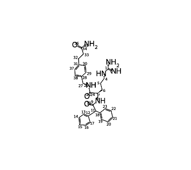 N=C(N)NCCC[C@@H](NC(=O)C(c1ccccc1)c1ccccc1)C(=O)NCc1ccc(CCC(N)=O)cc1